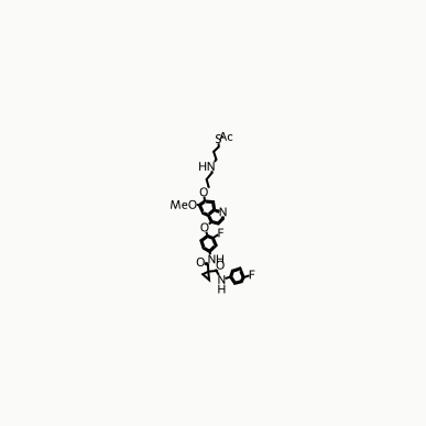 COc1cc2c(Oc3ccc(NC(=O)C4(C(=O)Nc5ccc(F)cc5)CC4)cc3F)ccnc2cc1OCCCNCCCSC(C)=O